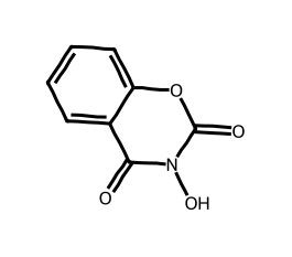 O=c1oc2ccccc2c(=O)n1O